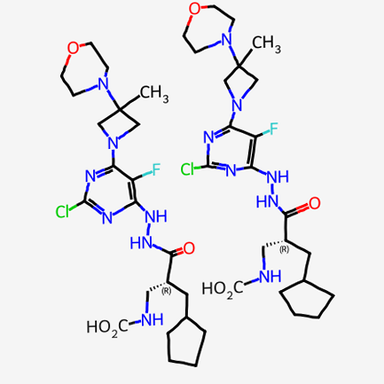 CC1(N2CCOCC2)CN(c2nc(Cl)nc(NNC(=O)[C@@H](CNC(=O)O)CC3CCCC3)c2F)C1.CC1(N2CCOCC2)CN(c2nc(Cl)nc(NNC(=O)[C@@H](CNC(=O)O)CC3CCCC3)c2F)C1